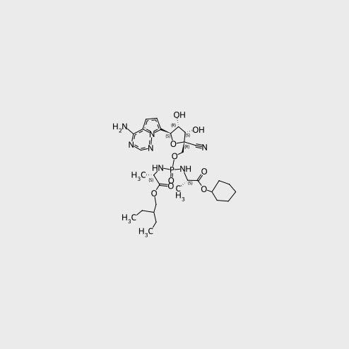 CCC(CC)COC(=O)[C@H](C)NP(=O)(N[C@@H](C)C(=O)OC1CCCCC1)OC[C@@]1(C#N)O[C@@H](c2ccc3c(N)ncnn23)[C@H](O)[C@@H]1O